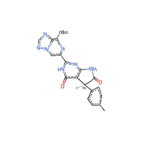 CCCCc1nc(-c2nc3c(c(=O)[nH]2)[C@](C)(c2ccc(C)cc2)C(=O)N3)cn2ncnc12